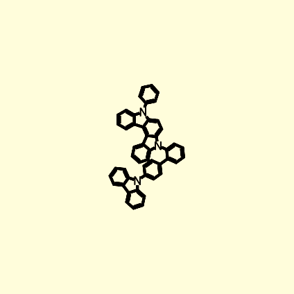 c1ccc(-n2c3ccccc3c3c4c5ccccc5n(-c5ccccc5-c5ccc(-n6c7ccccc7c7ccccc76)cc5)c4ccc32)cc1